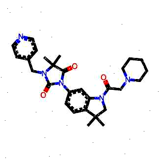 CC1(C)CN(C(=O)CN2CCCCC2)c2cc(N3C(=O)N(Cc4ccncc4)C(C)(C)C3=O)ccc21